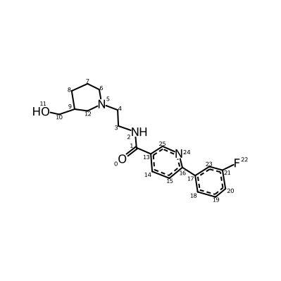 O=C(NCCN1CCCC(CO)C1)c1ccc(-c2cccc(F)c2)nc1